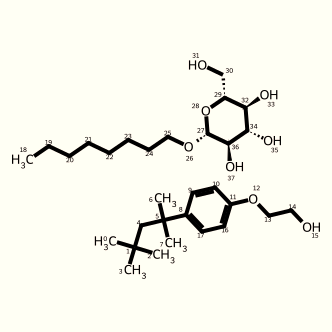 CC(C)(C)CC(C)(C)c1ccc(OCCO)cc1.CCCCCCCCO[C@@H]1O[C@H](CO)[C@@H](O)[C@H](O)[C@H]1O